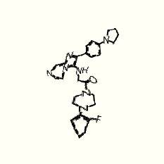 O=C(CNc1c(-c2ccc(N3CCCC3)cc2)nc2cnccn12)N1CCN(c2ccccc2F)CC1